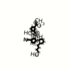 COC(=O)c1ccc(O)c(S(=O)(=O)Nc2cc(C#N)ccc2N2CCCCC2CCCCO)c1